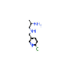 CC(N)CNCc1ccc(Cl)nc1